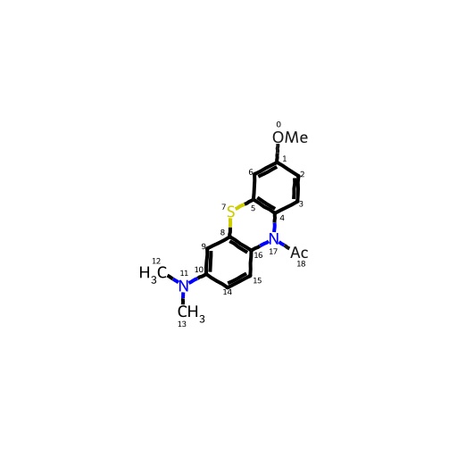 COc1ccc2c(c1)Sc1cc(N(C)C)ccc1N2C(C)=O